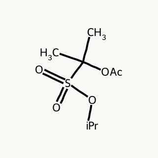 CC(=O)OC(C)(C)S(=O)(=O)OC(C)C